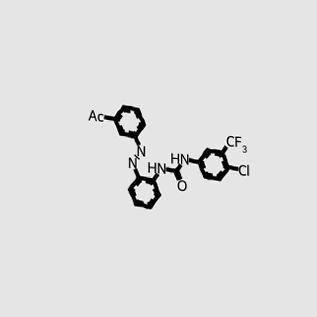 CC(=O)c1cccc(N=Nc2ccccc2NC(=O)Nc2ccc(Cl)c(C(F)(F)F)c2)c1